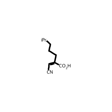 CC(C)CCCC(=CC#N)C(=O)O